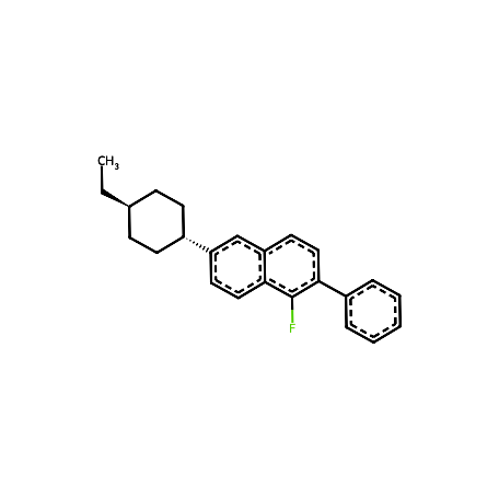 CC[C@H]1CC[C@H](c2ccc3c(F)c(-c4ccccc4)ccc3c2)CC1